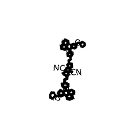 N#Cc1c2ccc(C=Cc3ccc(N(c4ccc(OC5CCCCC5)cc4)c4cccc5ccccc45)cc3)cc2c(C#N)c2ccc(C=Cc3ccc(N(c4ccc(OC5CCCCC5)cc4)c4cccc5ccccc45)cc3)cc12